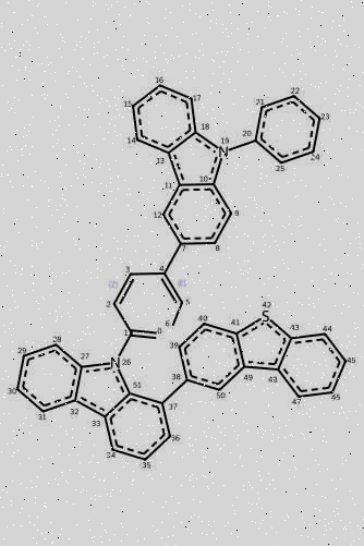 C=C(/C=C\C(=C/C)c1ccc2c(c1)c1ccccc1n2-c1ccccc1)n1c2ccccc2c2cccc(-c3ccc4sc5ccccc5c4c3)c21